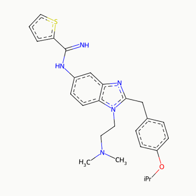 CC(C)Oc1ccc(Cc2nc3cc(NC(=N)c4cccs4)ccc3n2CCN(C)C)cc1